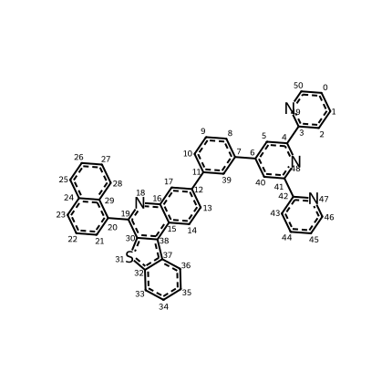 c1ccc(-c2cc(-c3cccc(-c4ccc5c(c4)nc(-c4cccc6ccccc46)c4sc6ccccc6c45)c3)cc(-c3ccccn3)n2)nc1